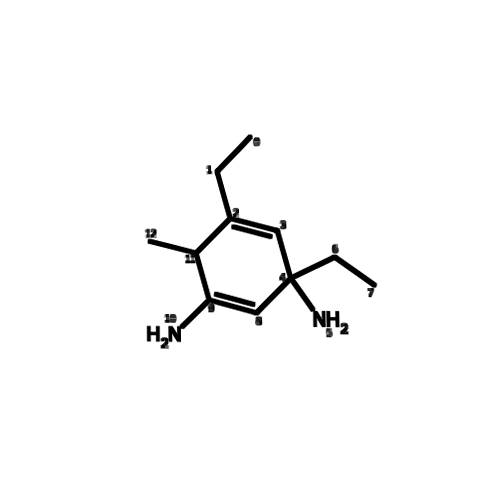 CCC1=CC(N)(CC)C=C(N)C1C